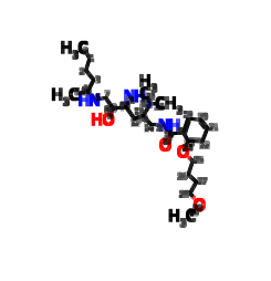 CCCC[C@H](C)NC[C@H](O)[C@@H](N)C[C@H](CNC(=O)c1ccccc1OCCCCOC)C(C)C